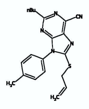 C=CCSc1nc2c(C#N)nc(CCCC)nc2n1-c1ccc(C)cc1